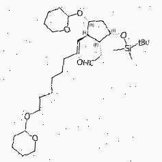 CC(C)(C)[Si](C)(C)O[C@H]1C[C@@H](OC2CCCCO2)[C@H](C=CCCCCCCOC2CCCCO2)[C@H]1CC=O